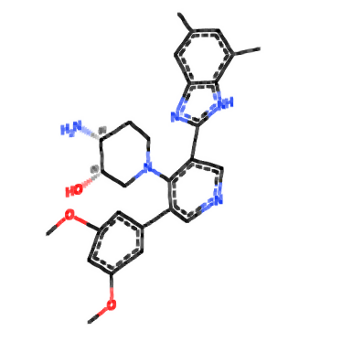 COc1cc(OC)cc(-c2cncc(-c3nc4cc(C)cc(C)c4[nH]3)c2N2CC[C@@H](N)[C@@H](O)C2)c1